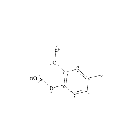 [CH2]c1ccc(OS(=O)(=O)O)c(OCC)c1